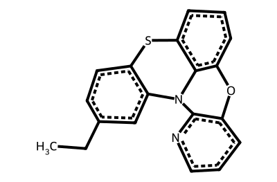 CCc1ccc2c(c1)N1c3ncccc3Oc3cccc(c31)S2